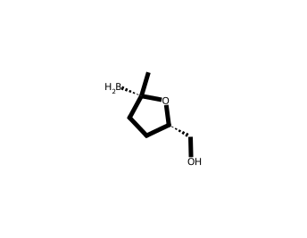 B[C@@]1(C)CC[C@@H](CO)O1